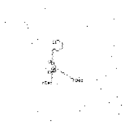 CC/C=C\C/C=C\C/C=C\C/C=C\C/C=C\CCCCCC(=O)OC[C@@H](COC(=O)CCCCCCCCCCCCCCC)OC(=O)CCCCCCCCCCCCCCCCCCCCC